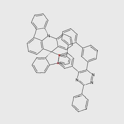 c1ccc(-c2nnc(-c3cccc(-c4ccccc4-c4cccc5c4C4(c6ccccc6-5)c5ccccc5-n5c6ccccc6c6cccc4c65)c3)c(-c3ccccc3)n2)cc1